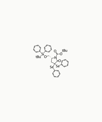 CC(C)(C)OC(=O)N1C(=O)C([Se]c2ccccc2)([Se]c2ccccc2)C[C@@H]1CO[Si](c1ccccc1)(c1ccccc1)C(C)(C)C